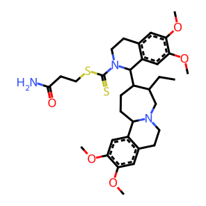 CCC1CN2CCc3cc(OC)c(OC)cc3C2CCC1C1c2cc(OC)c(OC)cc2CCN1C(=S)SCCC(N)=O